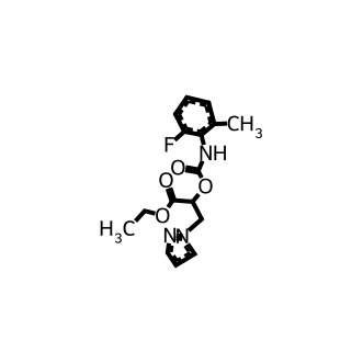 CCOC(=O)C(Cn1cccn1)OC(=O)Nc1c(C)cccc1F